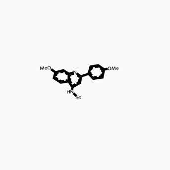 CCNc1cc(-c2ccc(OC)cc2)nc2cc(OC)ccc12